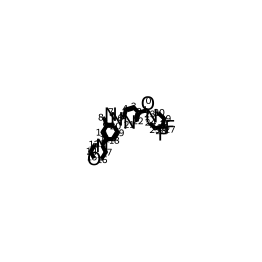 O=C(c1ccc(-n2ncc3cc(N4CCOCC4)ccc32)nc1)N1CCC(F)(F)CC1